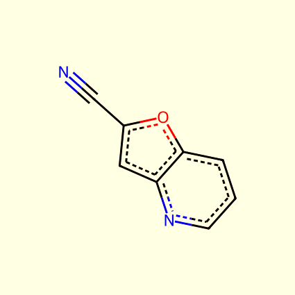 N#Cc1cc2ncccc2o1